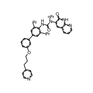 CCCN(C(=O)Nc1c(C(C)C)cc(-c2cccc(OCCCc3ccncc3)c2)cc1C(C)C)c1cc2cccnc2[nH]c1=O